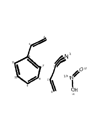 C=CC#N.C=Cc1ccccc1.O=NO